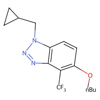 CCCCOc1ccc2c(nnn2CC2CC2)c1C(F)(F)F